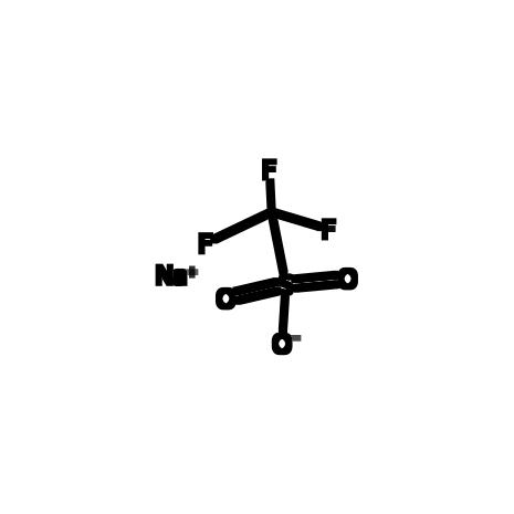 O=S(=O)([O-])C(F)(F)F.[Na+]